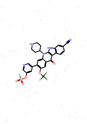 N#Cc1ccc2c(c1)[nH]c1c2c(=O)c2cc(OC(F)(F)F)c(-c3cncc(OS(=O)(=O)F)c3)cc2n1C1CCNCC1